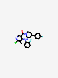 Cc1c(Cl)ncc(C(=O)N2CCC(c3ccc(F)cc3)CC2)c1Nc1ccccc1F